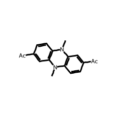 CC(=O)c1ccc2c(c1)N(C)c1ccc(C(C)=O)cc1N2C